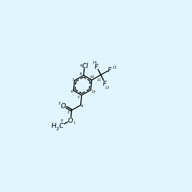 COC(=O)Cc1ccc(Cl)c(C(F)(F)F)c1